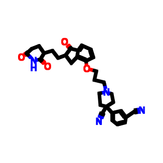 N#Cc1cccc(C2(C#N)CCN(CCCOc3cccc4c3CC(CCC3CCC(=O)NC3=O)C4=O)CC2)c1